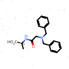 C[C@H](NC(=O)CN(Cc1ccccc1)Cc1ccccc1)C(=O)O